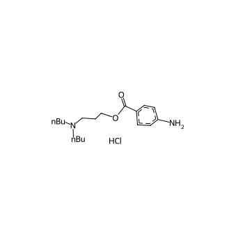 CCCCN(CCCC)CCCOC(=O)c1ccc(N)cc1.Cl